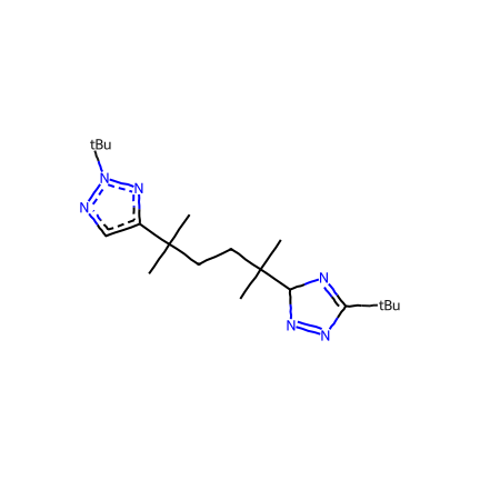 CC(C)(C)C1=NC(C(C)(C)CCC(C)(C)c2cnn(C(C)(C)C)n2)N=N1